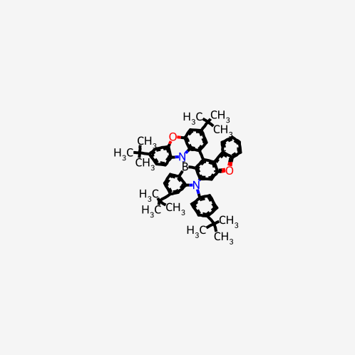 CC(C)(C)c1ccc(N2c3cc(C(C)(C)C)ccc3B3c4c2cc2oc5ccccc5c2c4-c2cc(C(C)(C)C)cc4c2N3c2ccc(C(C)(C)C)cc2O4)cc1